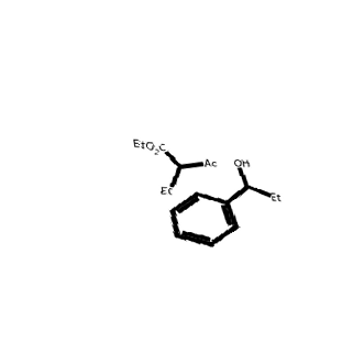 CCC(O)c1ccccc1.CCOC(=O)C(CC)C(C)=O